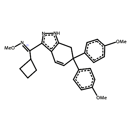 CO/N=C(/c1n[nH]c2c1C=CC(c1ccc(OC)cc1)(c1ccc(OC)cc1)C2)C1CCC1